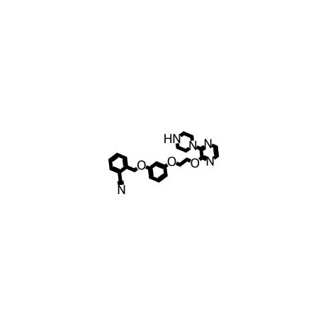 N#Cc1ccccc1COc1cccc(OCCOc2nccnc2N2CCNCC2)c1